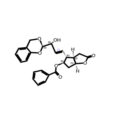 O=C1C[C@@H]2[C@@H](/C=C/[C@@H](O)[C@@H]3OCc4ccccc4O3)[C@H](OC(=O)c3ccccc3)C[C@@H]2O1